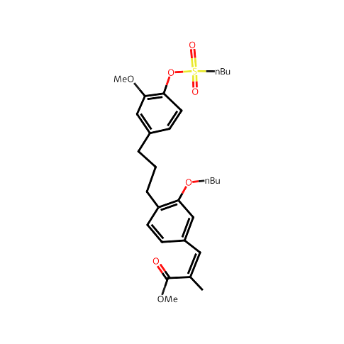 CCCCOc1cc(/C=C(/C)C(=O)OC)ccc1CCCc1ccc(OS(=O)(=O)CCCC)c(OC)c1